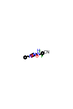 N#Cc1cc(F)c(CNC(=O)CN2CC3CN(CCc4ccccc4)CC(C2)O3)c(F)c1